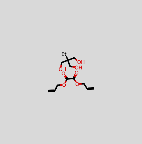 C=CCOC(=O)C(=O)OCC=C.CCC(CO)(CO)CO